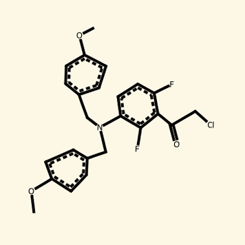 COc1ccc(CN(Cc2ccc(OC)cc2)c2ccc(F)c(C(=O)CCl)c2F)cc1